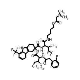 CCC(C)C(NC(=O)Cc1ccccc1F)C(=O)NC1(C(=O)NC(C(=O)NCCCCOC(=O)CN(C)C)C(C)CC)CCc2[nH]c3c(C(F)(F)F)cccc3c2C1